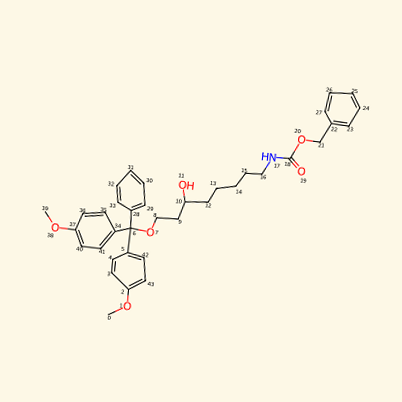 COc1ccc(C(OCCC(O)CCCCCNC(=O)OCc2ccccc2)(c2ccccc2)c2ccc(OC)cc2)cc1